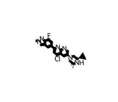 C[C@@H]1CN(c2cnc3nc(-c4cc(F)c5nn(C)cc5c4)cc(Cl)c3c2)C[C@@H](C2CC2)N1